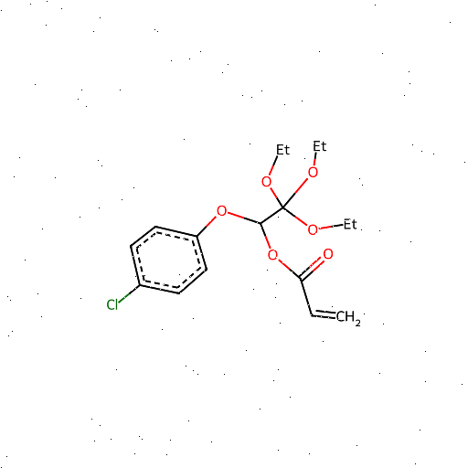 C=CC(=O)OC(Oc1ccc(Cl)cc1)C(OCC)(OCC)OCC